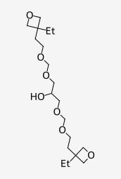 CCC1(CCOCOCC(O)COCOCCC2(CC)COC2)COC1